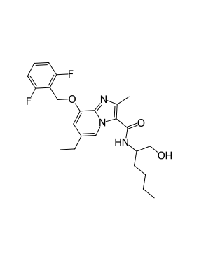 CCCCC(CO)NC(=O)c1c(C)nc2c(OCc3c(F)cccc3F)cc(CC)cn12